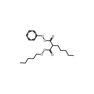 CCCCCOOC(=O)C(CCCCC)C(=O)OOc1ccccc1